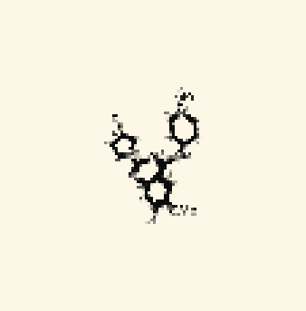 CCCN1CCC(Nc2nc(N3CC[C@@H](F)C3)nc3cc(I)c(OC)cc23)CC1